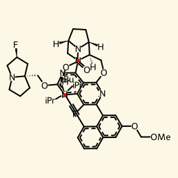 COCOc1cc(-c2nc3c4c(nc(OC[C@]56CCCN5C[C@@H](F)C6)nc4c2F)N2C[C@@H]4CC[C@H]([C@H]2CO3)N4C(=O)OC(C)(C)C)c2c(C#C[Si](C(C)C)(C(C)C)C(C)C)cccc2c1